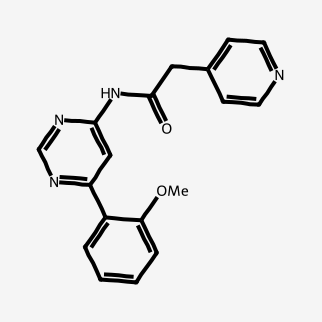 COc1ccccc1-c1cc(NC(=O)Cc2ccncc2)ncn1